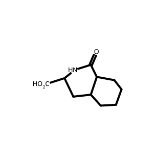 O=C(O)C1CC2CCCCC2C(=O)N1